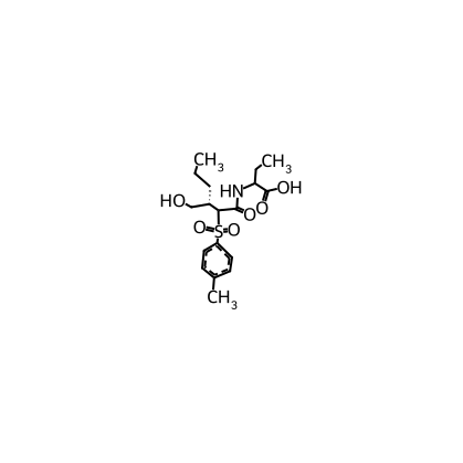 CCC[C@@H](CO)C(C(=O)NC(CC)C(=O)O)S(=O)(=O)c1ccc(C)cc1